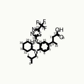 CC(C)CN(c1ccc(C(C)CC(=O)O)cc1Nc1nnc(C(F)(F)F)s1)C1CCCCC1